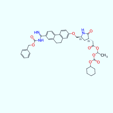 CC(OC(=O)C[C@@H]1C[C@@H](COc2ccc3c(c2)CCc2cc(C(=N)NC(=O)OCc4ccccc4)ccc2-3)NC1=O)OC(=O)OC1CCCCC1